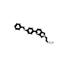 O=C(O)CCN1Cc2ccc(-c3ccc(OCc4ccccc4)cc3)nc2C1